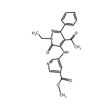 CCn1nc(-c2ccccc2)c(C(C)=O)c(Nc2cncc(C(=O)OC)c2)c1=O